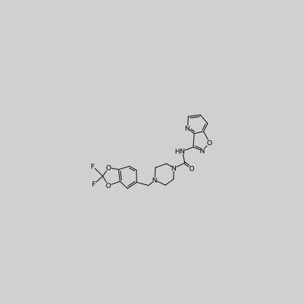 O=C(Nc1noc2cccnc12)N1CCN(Cc2ccc3c(c2)OC(F)(F)O3)CC1